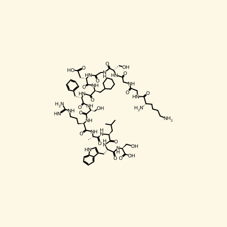 CC(C)C[C@H](NC(=O)[C@H](C)NC(=O)[C@@H](CCCNC(=N)N)NC(=O)[C@@H](CO)NC(=O)[C@H](Cc1ccccc1)NC(=O)[C@H](CC1CCCCC1)NC(=O)[C@H](CC(=O)O)NC(=O)CNC(=O)[C@H](CO)NC(=O)CNC(=O)CNC(=O)[C@@H](N)CCCCN)C(=O)N[C@@H](Cc1c[nH]c2ccccc12)C(=O)N[C@@H](CO)C(=O)O